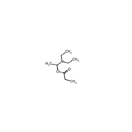 CCC(=O)OC(C)N(CC)CC